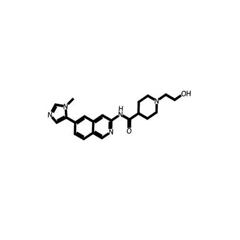 Cn1cncc1-c1ccc2cnc(NC(=O)C3CCN(CCO)CC3)cc2c1